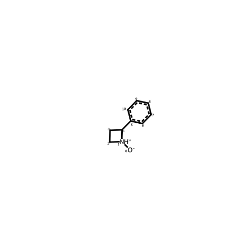 [O-][NH+]1CCC1c1ccccc1